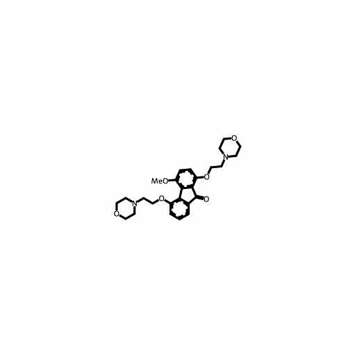 COc1ccc(OCCN2CCOCC2)c2c1-c1c(OCCN3CCOCC3)cccc1C2=O